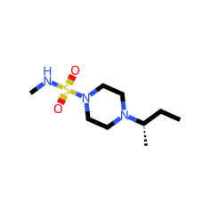 CC[C@H](C)N1CCN(S(=O)(=O)NC)CC1